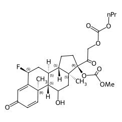 CCCOC(=O)OCC(=O)[C@@]1(OC(=O)OC)CC[C@H]2[C@@H]3C[C@H](F)C4=CC(=O)C=C[C@]4(C)[C@H]3C(O)C[C@@]21C